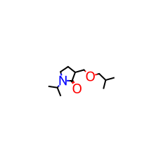 CC(C)COCC1CCN(C(C)C)C1=O